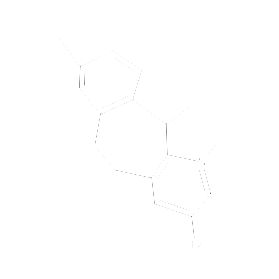 [O-][n+]1cc(Br)cc2c1C(Cl)c1ccc(Cl)cc1CC2